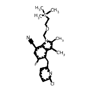 Cc1c(C)n(COCCS(C)(C)C)c2c(C#N)cc(F)c(Cc3cccc(Cl)n3)c12